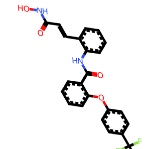 O=C(C=Cc1ccccc1NC(=O)c1ccccc1Oc1ccc(C(F)(F)F)cc1)NO